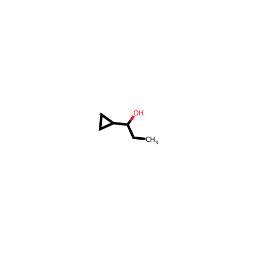 CCC(O)C1[CH]C1